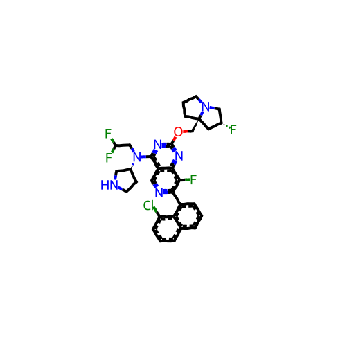 Fc1c(-c2cccc3cccc(Cl)c23)ncc2c(N(CC(F)F)[C@@H]3CCNC3)nc(OC[C@@]34CCCN3C[C@H](F)C4)nc12